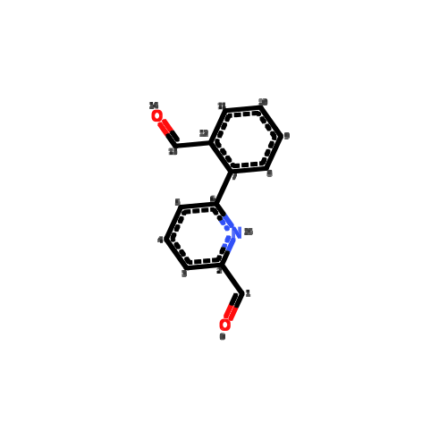 O=Cc1cccc(-c2ccccc2C=O)n1